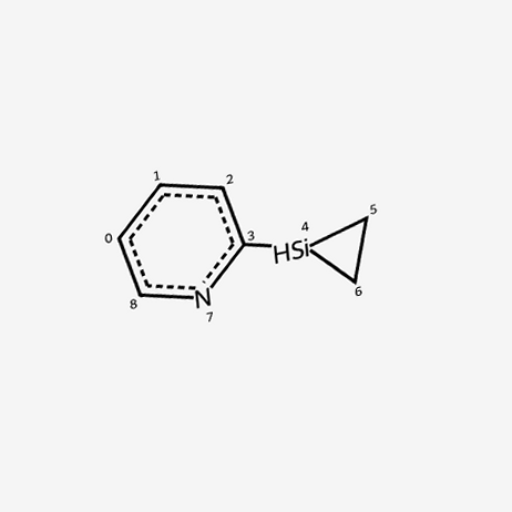 c1ccc([SiH]2CC2)nc1